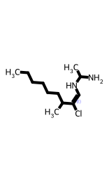 CCCCCCC(C)/C(Cl)=C\NC(C)N